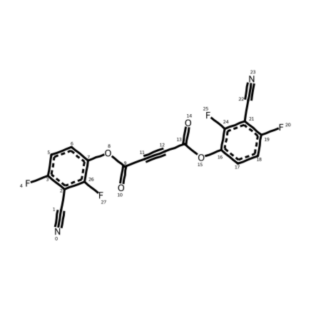 N#Cc1c(F)ccc(OC(=O)C#CC(=O)Oc2ccc(F)c(C#N)c2F)c1F